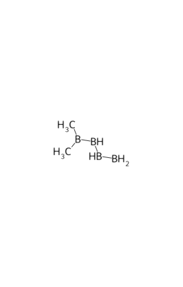 BBBB(C)C